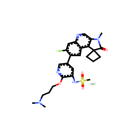 CN(C)CCCOc1ncc(-c2cc3c4c(cnc3cc2F)N(C)C(=O)C42CCC2)cc1NS(C)(=O)=O.Cl